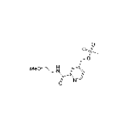 COCCNC(=O)c1cc(COS(C)(=O)=O)ccn1